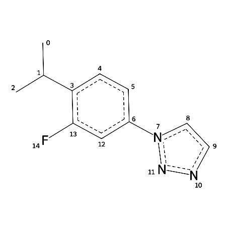 CC(C)c1ccc(-n2ccnn2)cc1F